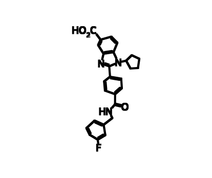 O=C(O)c1ccc2c(c1)nc(-c1ccc(C(=O)NCc3cccc(F)c3)cc1)n2C1CCCC1